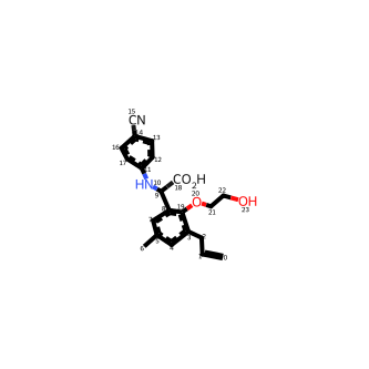 C=CCc1cc(C)cc(C(Nc2ccc(C#N)cc2)C(=O)O)c1OCCO